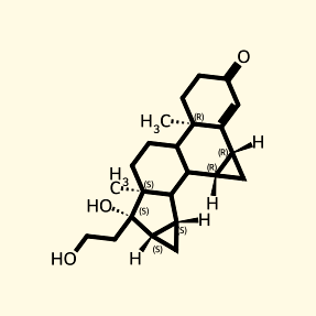 C[C@]12CCC(=O)C=C1[C@@H]1C[C@@H]1C1C2CC[C@@]2(C)C1[C@@H]1C[C@@H]1[C@@]2(O)CCO